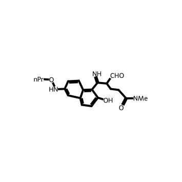 CCCONc1ccc2c(C(=N)C(C=O)CCC(=O)NC)c(O)ccc2c1